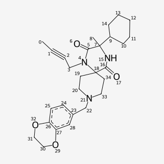 CC#CCN1C(=O)C(C)(C2CCCCC2)NC(=O)C12CCN(Cc1ccc3c(c1)OCCO3)CC2